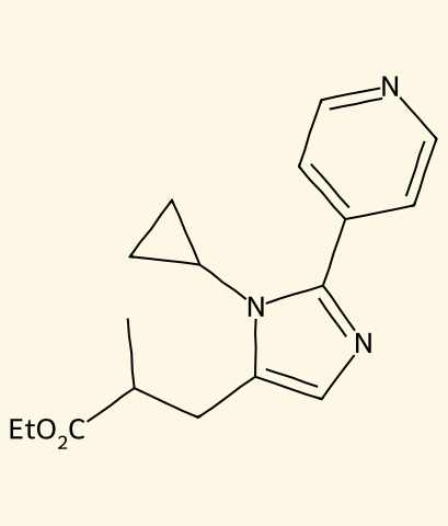 CCOC(=O)C(C)Cc1cnc(-c2ccncc2)n1C1CC1